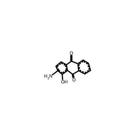 Nc1ccc2c(c1O)C(=O)c1ccccc1C2=O